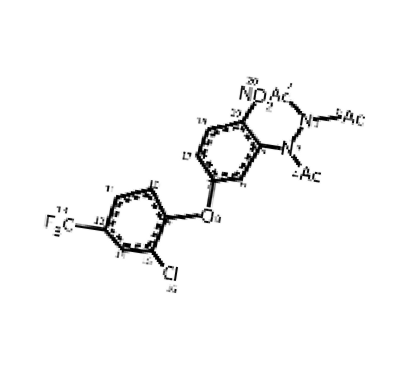 CC(=O)N(C(C)=O)N(C(C)=O)c1cc(Oc2ccc(C(F)(F)F)cc2Cl)ccc1[N+](=O)[O-]